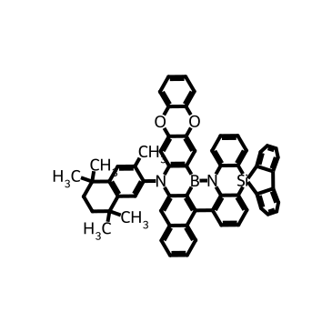 Cc1cc2c(cc1N1c3cc4c(cc3B3c5c1cc1ccccc1c5-c1cccc5c1N3c1ccccc1[Si]51c3ccccc3-c3ccccc31)Oc1ccccc1O4)C(C)(C)CCC2(C)C